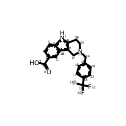 O=C(O)c1ccc2[nH]c3c(c2c1)CN(Cc1ccc(C(F)(F)F)cc1)CC3